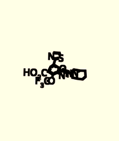 O=C(O)c1cc(-c2nccs2)c2oc(N3CC4CCCC(C3)N4)nc2c1OC(F)(F)F